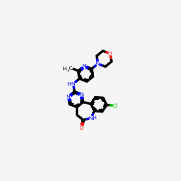 Cc1nc(N2CCOCC2)ccc1Nc1ncc2c(n1)-c1ccc(Cl)cc1NC(=O)C2